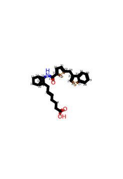 O=C(O)CCCC=CCC1C2CCC(C2)C1NC(=O)c1ccc(Cc2csc3ccccc23)s1